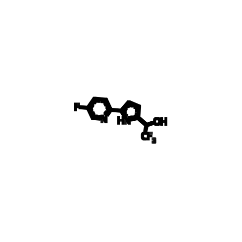 OC(c1ccc(-c2ccc(F)cn2)[nH]1)C(F)(F)F